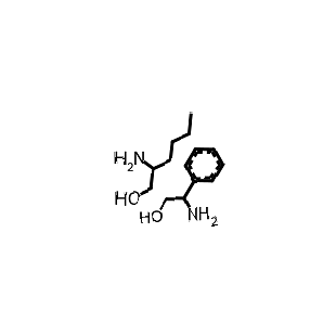 CCCCC(N)CO.NC(CO)c1ccccc1